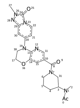 CC(=O)N(C)C1CCCN(C(=O)c2cnc3c(c2)OCCN3c2ccn3c(=O)n(C)nc3c2)C1